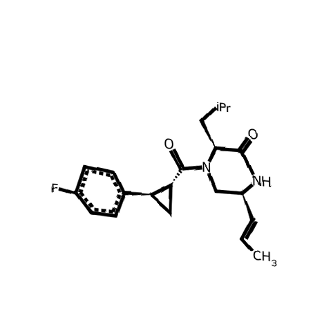 CC=C[C@H]1CN(C(=O)[C@@H]2C[C@H]2c2ccc(F)cc2)[C@@H](CC(C)C)C(=O)N1